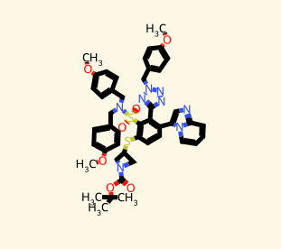 COc1ccc(CN(Cc2ccc(OC)cc2)S(=O)(=O)c2c(SC3CN(C(=O)OC(C)(C)C)C3)ccc(-c3cnc4ccccn34)c2-c2nnn(Cc3ccc(OC)cc3)n2)cc1